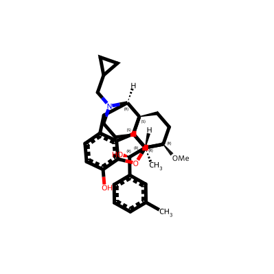 CO[C@]12CC[C@@]3(C[C@]1(C)[C@H](O)c1cccc(C)c1)[C@H]1Cc4ccc(O)c5c4[C@@]3(CCN1CC1CC1)[C@H]2O5